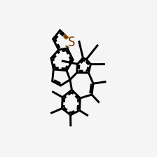 CC1=C(C)c2c(C)c(C)c(C)c(C)c2C2(C=Cc3cc4ccsc4cc32)c2c(C)c(C)c(C)c(C)c21